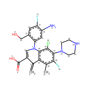 C=C1C(C(=O)O)=CN(c2cc(N)c(F)cc2CO)c2c(Cl)c(N3CCNCC3)c(F)c(C)c21